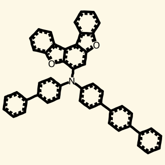 c1ccc(-c2ccc(-c3ccc(N(c4ccc(-c5ccccc5)cc4)c4cc5oc6ccccc6c5c5c4oc4ccccc45)cc3)cc2)cc1